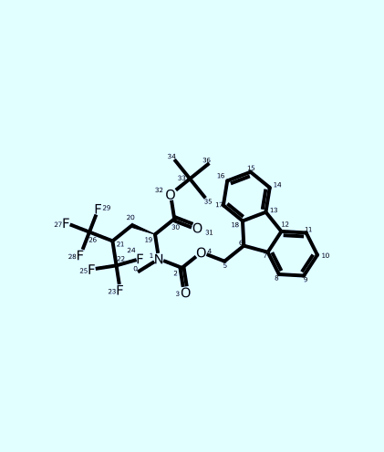 CN(C(=O)OCC1c2ccccc2-c2ccccc21)[C@@H](CC(C(F)(F)F)C(F)(F)F)C(=O)OC(C)(C)C